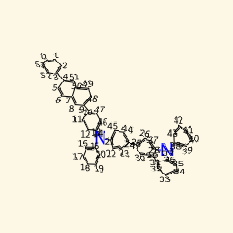 c1ccc(-c2ccc3cc(-c4ccc(N(c5ccccc5)c5ccc(-c6ccc7c(c6)c6ccccc6n7-c6ccccc6)cc5)cc4)ccc3c2)cc1